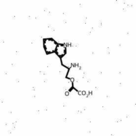 N[C@H](COC(=O)C(=O)O)Cc1c[nH]c2ccccc12